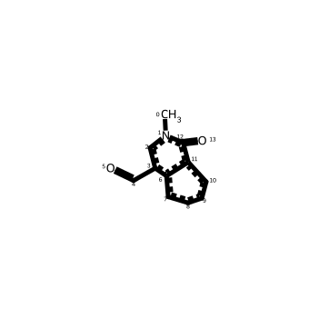 Cn1cc([C]=O)c2ccccc2c1=O